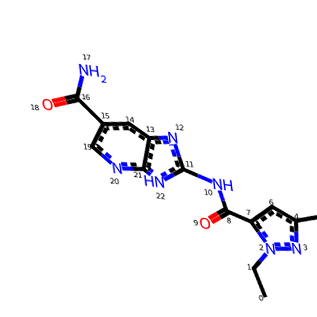 CCn1nc(C)cc1C(=O)Nc1nc2cc(C(N)=O)cnc2[nH]1